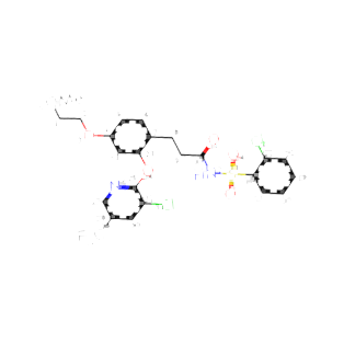 COCCOc1ccc(CCC(=O)NS(=O)(=O)c2ccccc2Cl)c(Oc2ncc(C(F)(F)F)cc2Cl)c1